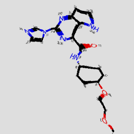 COCCO[C@H]1CC[C@H](NC(=O)c2nc(-n3ccnc3)nc3cc[nH]c23)CC1